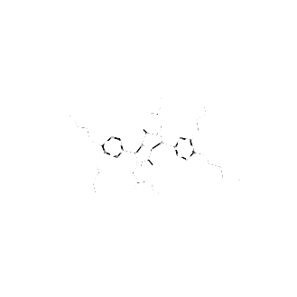 CCCCCCCCCCCCOc1ccc(C2=C3C(=O)N(CC(OCC)OCC)C(c4ccc(OCCCCCCCCCCCC)c(OCCCCCCCCCCCC)c4)=C3C(=O)N2CC(OCC)OCC)cc1OCCCCCCCCCCCC